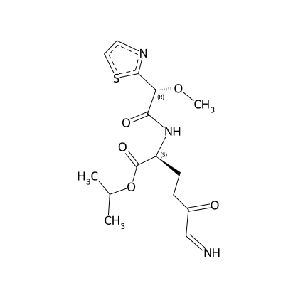 CO[C@H](C(=O)N[C@@H](CCC(=O)C=N)C(=O)OC(C)C)c1nccs1